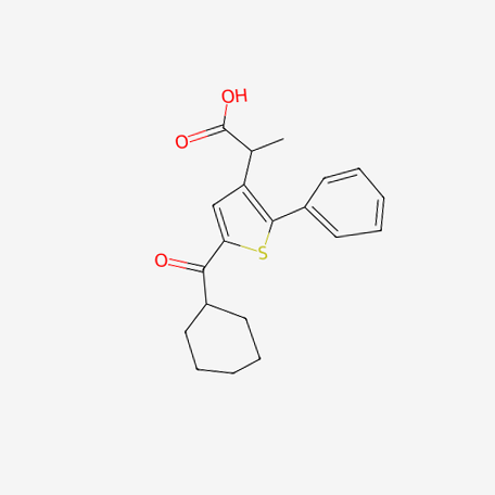 CC(C(=O)O)c1cc(C(=O)C2CCCCC2)sc1-c1ccccc1